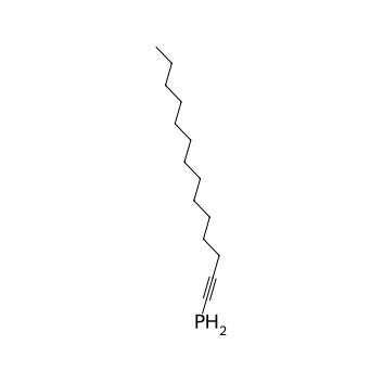 CCCCCCCCCCCCC#CP